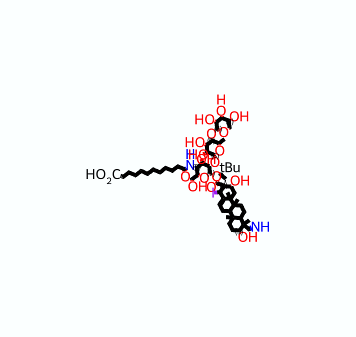 CC1O[C@@H](OC2C(O)[C@@H](NC(=O)CCCCCCCCCCC(=O)O)C(CO)O[C@H]2OC(=O)[C@@]2(CCC(C)(C)C)C(O)CC3(C)C(=CCC4C5(C)CC[C@H](O)C(C)(C=N)C5CCC43C)C2I)C(O)C(O)[C@H]1O[C@@H]1OC[C@@H](O)C(O)C1O